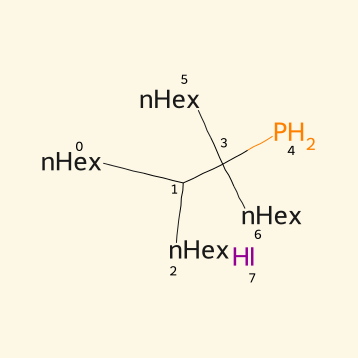 CCCCCCC(CCCCCC)C(P)(CCCCCC)CCCCCC.I